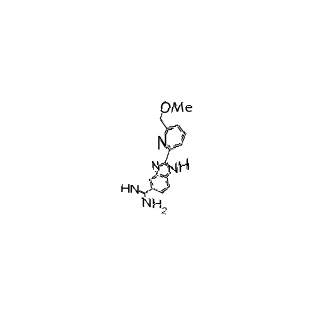 COCc1cccc(-c2nc3cc(C(=N)N)ccc3[nH]2)n1